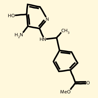 COC(=O)c1ccc(C(C)Nc2nccc(O)c2N)cc1